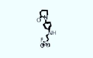 O=C1CCCCN1c1ccc(NCCS(=O)(=O)F)cc1